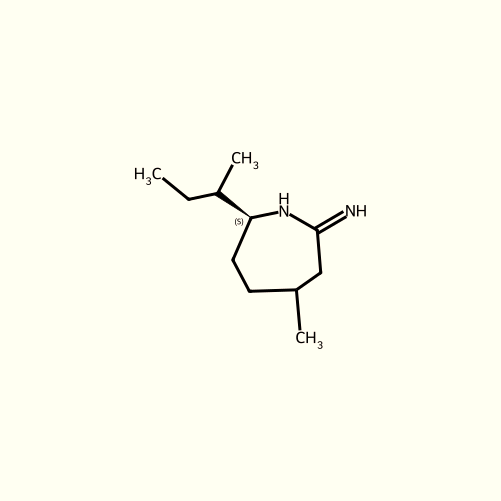 CCC(C)[C@@H]1CCC(C)CC(=N)N1